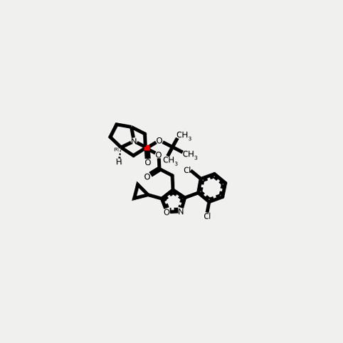 CC(C)(C)OC(=O)N1C2CC[C@@H]1CC(OC(=O)Cc1c(-c3c(Cl)cccc3Cl)noc1C1CC1)C2